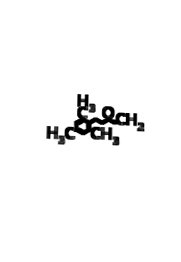 C=CC(=O)CCc1c(C)cc(C)cc1C